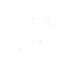 CC(C)(C)c1cncc(OC[C@@H](N)COc2ccc(F)c(F)c2)c1